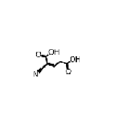 N#CC(=CCC(=O)O)C(=O)O